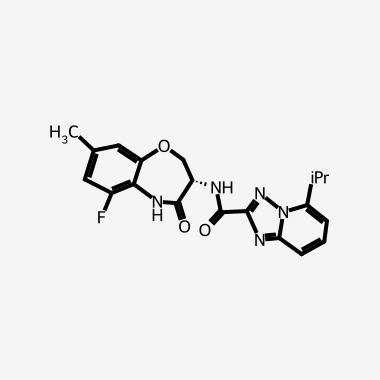 Cc1cc(F)c2c(c1)OC[C@H](NC(=O)c1nc3cccc(C(C)C)n3n1)C(=O)N2